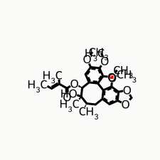 C/C=C(\C)C(=O)O[C@H]1c2cc(OC)c(OC)c(OC)c2-c2c(cc3c(c2OC)OCO3)C[C@H](C)[C@]1(C)O